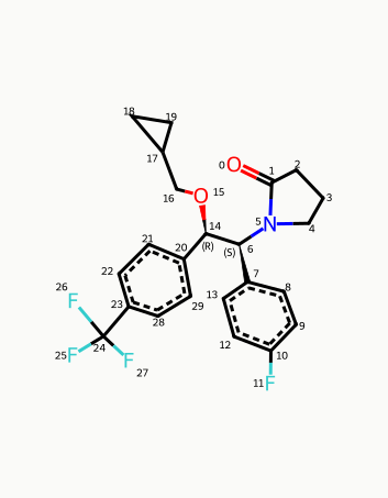 O=C1CCCN1[C@@H](c1ccc(F)cc1)[C@H](OCC1CC1)c1ccc(C(F)(F)F)cc1